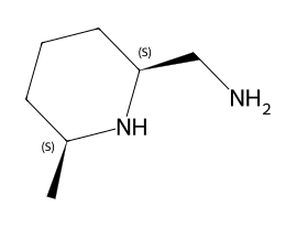 C[C@H]1CCC[C@@H](CN)N1